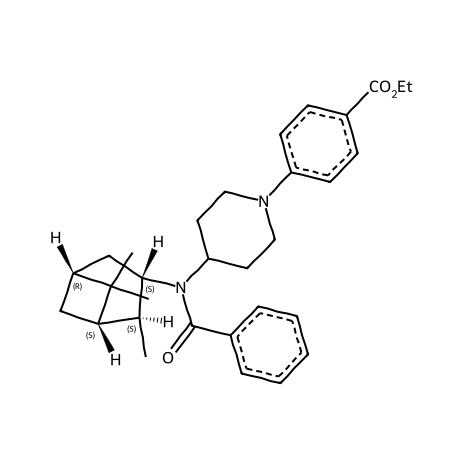 CCOC(=O)c1ccc(N2CCC(N(C(=O)c3ccccc3)[C@H]3C[C@H]4C[C@@H]([C@@H]3C)C4(C)C)CC2)cc1